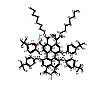 CCCCCCCCNC(=N)c1c(C(=O)O)c(Oc2ccc(C(C)(C)C)cc2)c2c3c(Oc4ccc(C(C)(C)C)cc4)cc4c5c(cc(Oc6ccc(C(C)(C)C)cc6)c(c6c(Oc7ccc(C(C)(C)C)cc7)cc(C(=O)NCCCCCCCC)c1c62)c53)C(=O)NC4=O